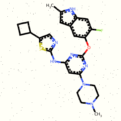 Cc1cc2cc(Oc3nc(Nc4ncc(C5CCC5)s4)cc(N4CCN(C)CC4)n3)c(F)cc2[nH]1